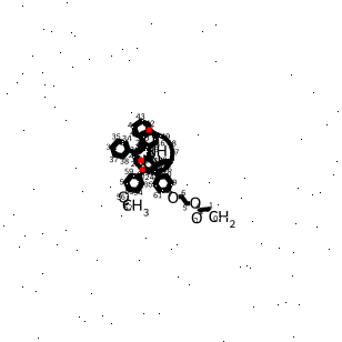 C=CC(=O)OCCOc1ccc(C2=NC(c3cc4ccc3CCCc3ccc(cc3-c3nc(-c5ccccc5)c(-c5ccccc5)[nH]3)CCC4)N=C2c2ccc(OC)cc2)cc1